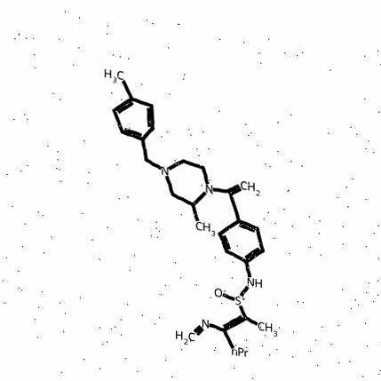 C=N/C(CCC)=C(/C)[S+]([O-])Nc1ccc(C(=C)N2CCN(Cc3ccc(C)cc3)CC2C)cc1